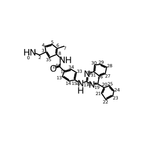 CNCc1ccc(C)c(NC(=O)c2ccc(Nc3nc(-c4ccccc4)c4ccccc4n3)cc2)c1